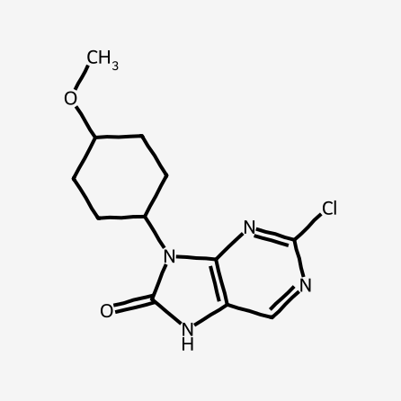 COC1CCC(n2c(=O)[nH]c3cnc(Cl)nc32)CC1